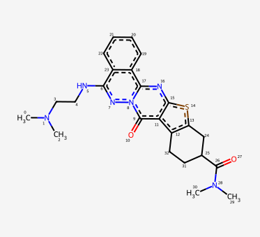 CN(C)CCNc1nn2c(=O)c3c4c(sc3nc2c2ccccc12)CC(C(=O)N(C)C)CC4